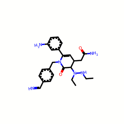 CCNN(CC)C1C(=O)N(Cc2ccc(C=N)cc2)C(c2cccc(N)c2)=CC1CC(N)=O